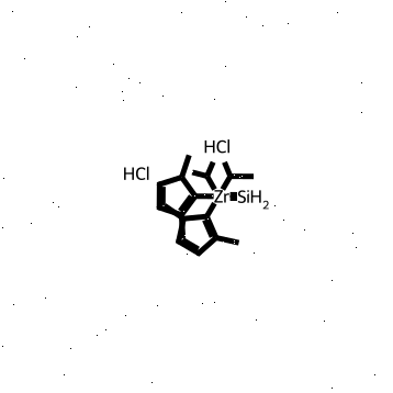 CC1=[C]([Zr](=[SiH2])([C]2=C(C)C=CC2C)([CH](C)C)[CH](C)C)C(C)C=C1.Cl.Cl